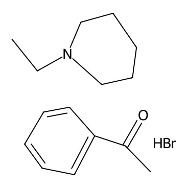 Br.CC(=O)c1ccccc1.CCN1CCCCC1